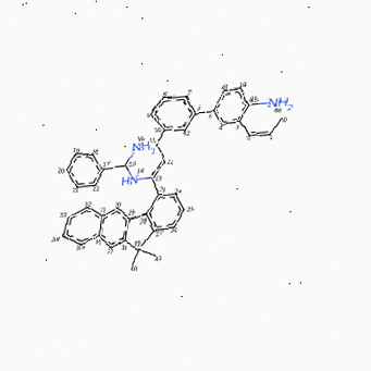 C/C=C\c1cc(-c2cccc(C/C=C(\NC(N)c3ccccc3)c3cccc4c3-c3cc5ccccc5cc3C4(C)C)c2)ccc1N